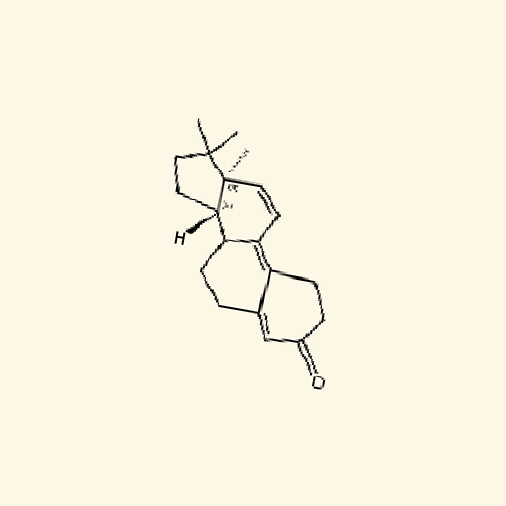 CC1(C)CC[C@H]2C3CCC4=CC(=O)CCC4=C3C=C[C@@]21C